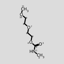 CNC(=O)OCCOCCOC